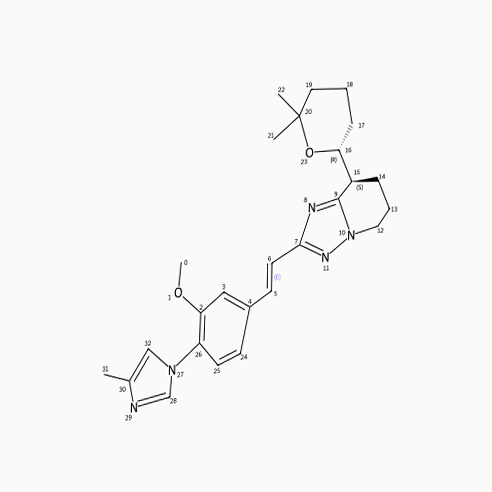 COc1cc(/C=C/c2nc3n(n2)CCC[C@@H]3[C@H]2CCCC(C)(C)O2)ccc1-n1cnc(C)c1